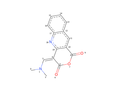 CN(C)C=C1C(=O)OC(=O)c2cc3ccccc3nc21